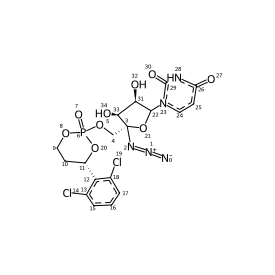 [N-]=[N+]=N[C@]1(COP2(=O)OCC[C@@H](c3c(Cl)cccc3Cl)O2)OC(n2ccc(=O)[nH]c2=O)[C@H](O)[C@@H]1O